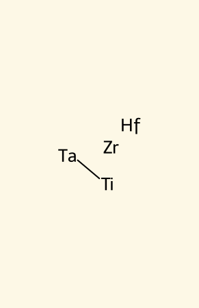 [Hf].[Ti][Ta].[Zr]